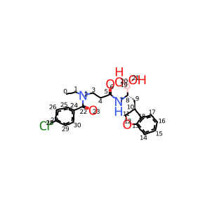 CCN(CCC(=O)N[C@@H](C[C@@H]1COc2ccccc21)B(O)O)C(=O)c1ccc(Cl)cc1